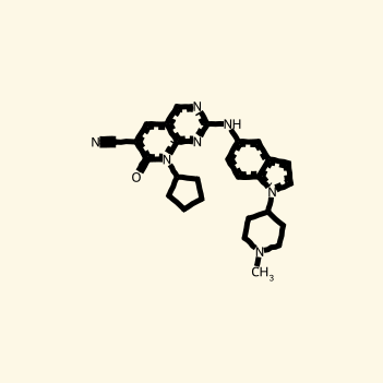 CN1CCC(n2ccc3cc(Nc4ncc5cc(C#N)c(=O)n(C6CCCC6)c5n4)ccc32)CC1